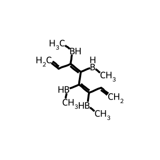 C=C/C(BC)=C(BC)\C(BC)=C(\BC)C=C